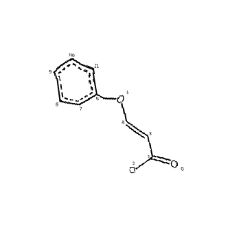 O=C(Cl)C=COc1ccccc1